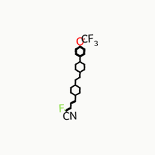 N#CC(F)=CC=CC1CCC(CCC2CCC(c3ccc(OC(F)(F)F)cc3)CC2)CC1